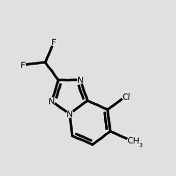 Cc1ccn2nc(C(F)F)nc2c1Cl